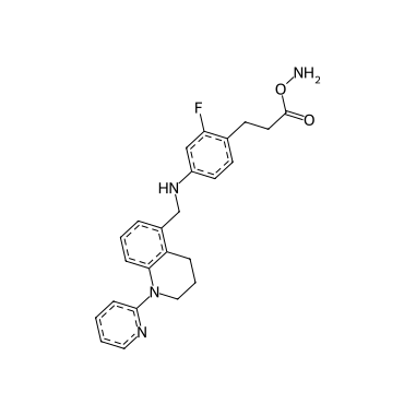 NOC(=O)CCc1ccc(NCc2cccc3c2CCCN3c2ccccn2)cc1F